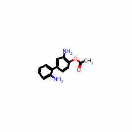 CC(=O)Oc1ccc(-c2ccccc2N)cc1N